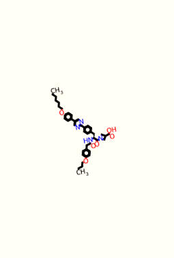 CCCCCCCOc1ccc(-c2cnc(-c3ccc(C[C@H](NC(=O)Cc4ccc(OCCCC)cc4)C(=O)N4CC(C(=O)O)C4)cc3)nc2)cc1